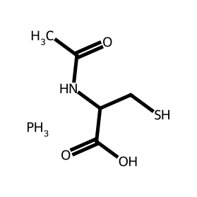 CC(=O)NC(CS)C(=O)O.P